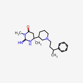 CC(CCN1CCCC([C@]2(C)CC(=O)N(C)C(=N)N2)C1)c1ccccc1